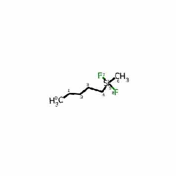 CCCCC[Si](C)(F)F